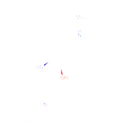 COc1ccccc1CN[C@H]1CC[C@H](NCc2cccc3cccnc23)[C@H](O)C1